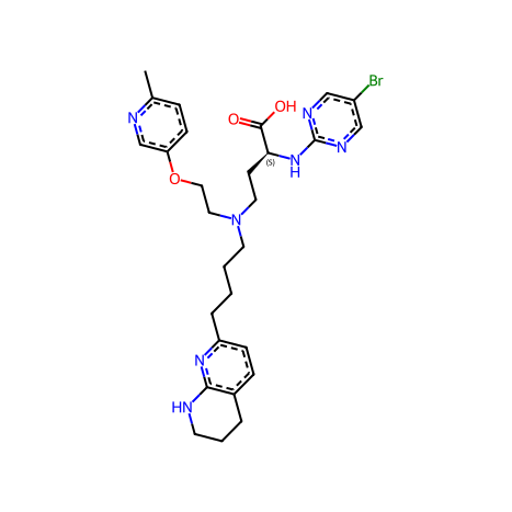 Cc1ccc(OCCN(CCCCc2ccc3c(n2)NCCC3)CC[C@H](Nc2ncc(Br)cn2)C(=O)O)cn1